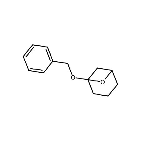 c1ccc(COC23CCCC(C2)O3)cc1